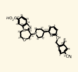 N#Cc1ccc(COc2cccc(C3CCN(C4COCCn5c4nc4ccc(C(=O)O)cc45)CC3)n2)c(F)c1